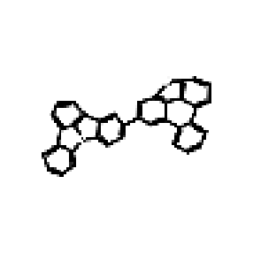 c1ccc2c(c1)c1cccc3sc4cc(-c5ccc6c(c5)c5cccc7c8ccccc8n6c75)cc2c4c31